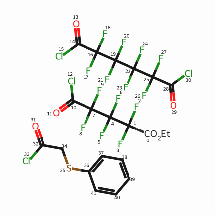 CCOC(=O)C(F)(F)C(F)(F)C(F)(F)C(=O)Cl.O=C(Cl)C(F)(F)C(F)(F)C(F)(F)C(F)(F)C(=O)Cl.O=C(Cl)CSc1ccccc1